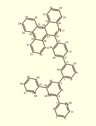 c1ccc(-c2cc(-c3cccc(-c4ccc(-c5nc6ccccc6c6c7ccccc7c7ccccc7c56)cc4)c3)cc(-c3ccccn3)n2)nc1